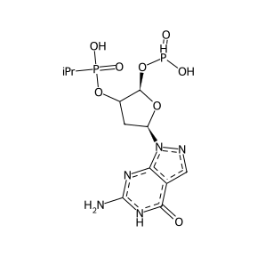 CC(C)P(=O)(O)OC1C[C@H](n2ncc3c(=O)[nH]c(N)nc32)O[C@@H]1O[PH](=O)O